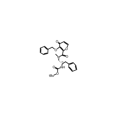 CN(C[C@H](Cc1ccccc1)NC(=O)OC(C)(C)C)C(=O)c1occc(=O)c1OCc1ccccc1